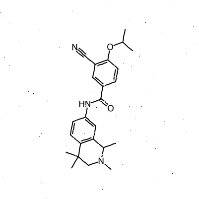 CC(C)Oc1ccc(C(=O)Nc2ccc3c(c2)C(C)N(C)CC3(C)C)cc1C#N